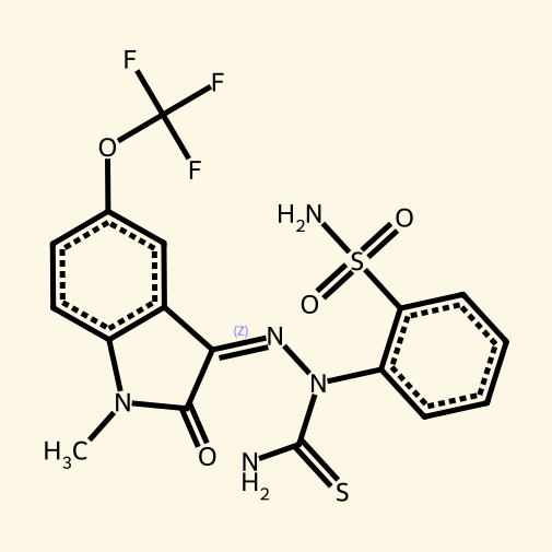 CN1C(=O)/C(=N\N(C(N)=S)c2ccccc2S(N)(=O)=O)c2cc(OC(F)(F)F)ccc21